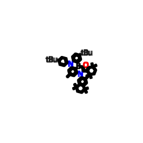 Cc1cc2c3c(c1)N(c1cc4c(cc1C)C(C)(C)CCC4(C)C)c1c(oc4c1C(C)(C)CCC4(C)C)B3c1cc(C(C)(C)C)ccc1N2C1=CCC(C(C)(C)C)C=C1